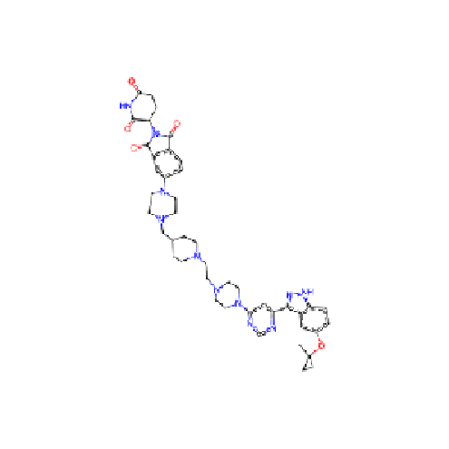 CC1(Oc2ccc3[nH]nc(-c4cc(N5CCN(CCN6CCC(CN7CCN(c8ccc9c(c8)C(=O)N(C8CCC(=O)NC8=O)C9=O)CC7)CC6)CC5)ncn4)c3c2)CC1